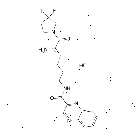 Cl.N[C@@H](CCCCNC(=O)c1cnc2ccccc2n1)C(=O)N1CCC(F)(F)C1